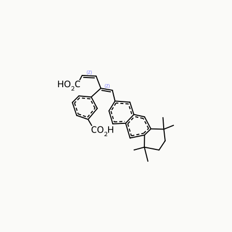 CC1(C)CCC(C)(C)c2cc3cc(/C=C(/C=C\C(=O)O)c4cccc(C(=O)O)c4)ccc3cc21